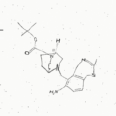 Cc1nc2c(N3C[C@@H]4CCC3CN4C(=O)OC(C)(C)C)c(N)ccc2s1